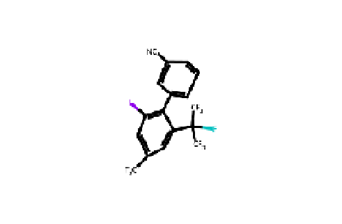 N#Cc1cccc(-c2c(I)[c]c(C(F)(F)F)cc2C(F)(C(F)(F)F)C(F)(F)F)c1